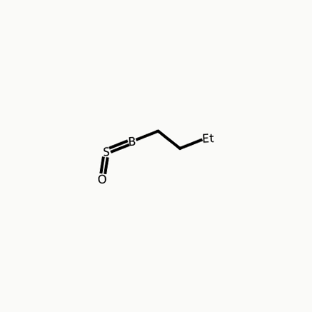 CCCCB=S=O